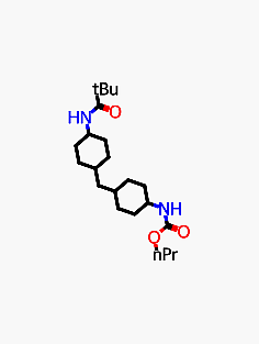 CCCOC(=O)NC1CCC(CC2CCC(NC(=O)C(C)(C)C)CC2)CC1